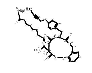 CC#CCOc1ccc(C[C@@H]2NC(=O)[C@@H](C=CCCCCCCC(=O)CCCCCCC)[C@@](O)(CC(=O)O)C(=O)OCc3ccccc3COC2=O)cc1